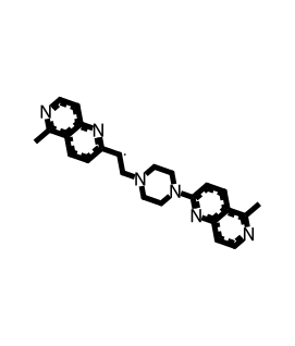 Cc1nccc2nc([CH]CN3CCN(c4ccc5c(C)nccc5n4)CC3)ccc12